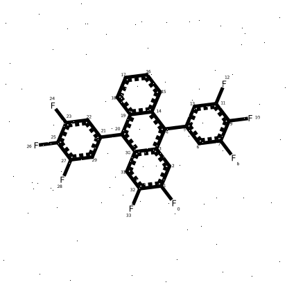 Fc1cc2c(-c3cc(F)c(F)c(F)c3)c3ccccc3c(-c3cc(F)c(F)c(F)c3)c2cc1F